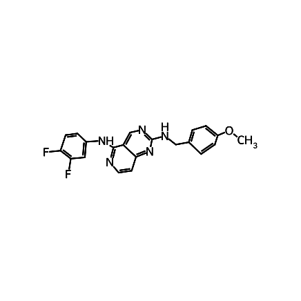 COc1ccc(CNc2ncc3c(Nc4ccc(F)c(F)c4)nccc3n2)cc1